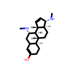 CN[C@H]1CC2C=C(O)CC[C@]2(C)[C@H]2CC[C@]3(C)[C@@H](NC)C=C[C@H]3[C@H]12